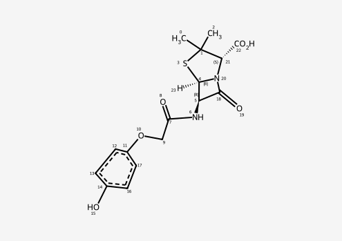 CC1(C)S[C@@H]2[C@H](NC(=O)COc3ccc(O)cc3)C(=O)N2[C@H]1C(=O)O